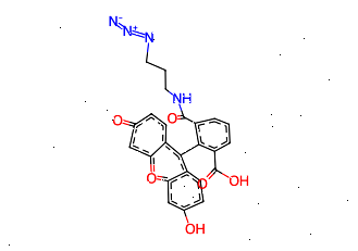 [N-]=[N+]=NCCCNC(=O)c1cccc(C(=O)O)c1-c1c2ccc(=O)cc-2oc2cc(O)ccc12